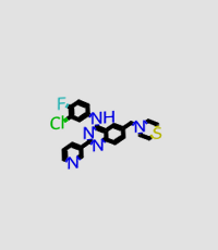 Fc1ccc(Nc2nc(-c3cccnc3)nc3ccc(CN4CCSCC4)cc23)cc1Cl